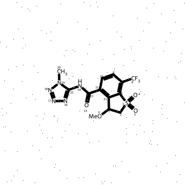 COC1CS(=O)(=O)c2c(C(F)(F)F)ccc(C(=O)Nc3nnnn3C)c21